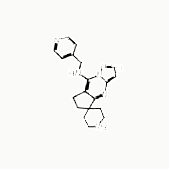 Cl.c1cc(CNc2c3c(nc4ccnn24)C2(CCNCC2)CC3)ccn1